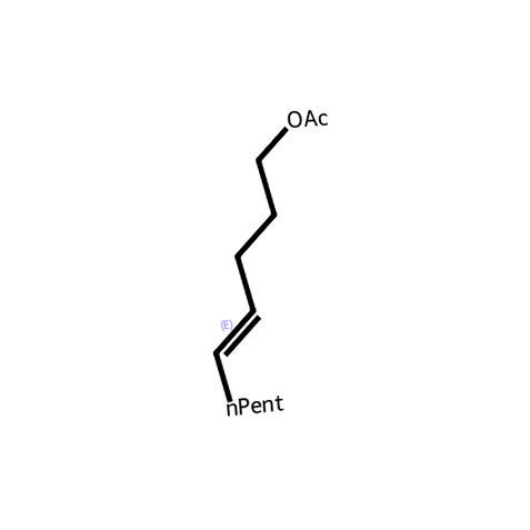 CCCCC/C=C/CCCOC(C)=O